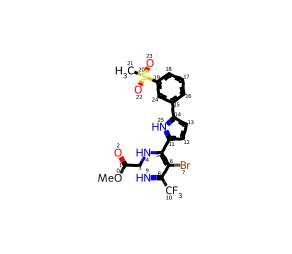 COC(=O)CN/C(=C(/Br)C(=N)C(F)(F)F)c1ccc(-c2cccc(S(C)(=O)=O)c2)[nH]1